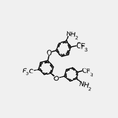 Nc1cc(Oc2cc(Oc3ccc(C(F)(F)F)c(N)c3)cc(C(F)(F)F)c2)ccc1C(F)(F)F